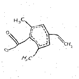 C=Cc1cc(C)c(C(=O)Cl)c(C)c1